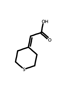 O=C(O)C=C1CCSCC1